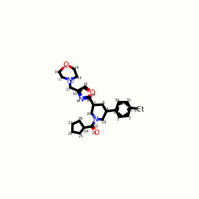 CCc1ccc(C2CC(c3nc(CN4CCOCC4)co3)CN(C(=O)C3CCCC3)C2)cc1